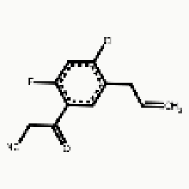 C=CCc1cc(C(=O)CC#N)c(F)cc1Cl